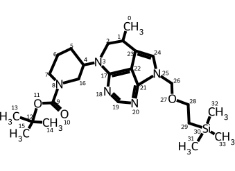 CC1CN(C2CCCN(C(=O)OC(C)(C)C)C2)c2ncnc3c2c1cn3COCC[Si](C)(C)C